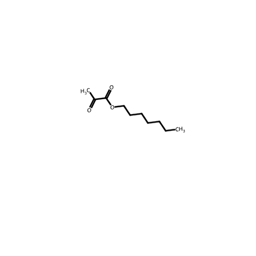 CCCCCCCOC(=O)C(C)=O